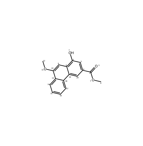 COC(=O)c1cc(O)c2cc(OC)c3ccccc3c2c1